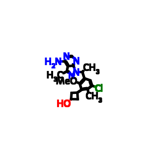 COc1c(C(C)n2nc(C)c3c(N)ncnc32)cc(Cl)c(C)c1C1CC(O)C1